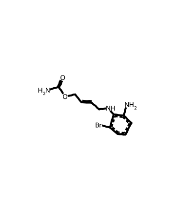 NC(=O)OCC=CCNc1c(N)cccc1Br